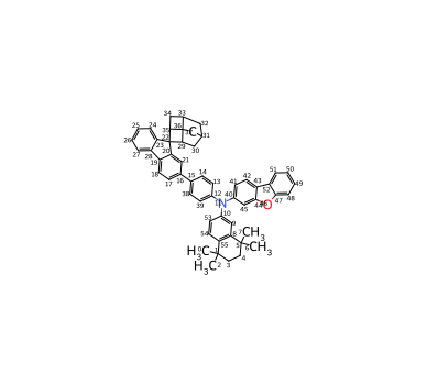 CC1(C)CCC(C)(C)c2cc(N(c3ccc(-c4ccc5c(c4)C4(c6ccccc6-5)C5CC6CC7CC4C75C6)cc3)c3ccc4c(c3)oc3ccccc34)ccc21